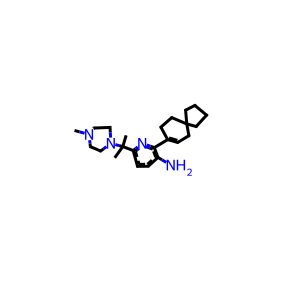 CN1CCN(C(C)(C)c2ccc(N)c(C3=CCC4(CCCC4)CC3)n2)CC1